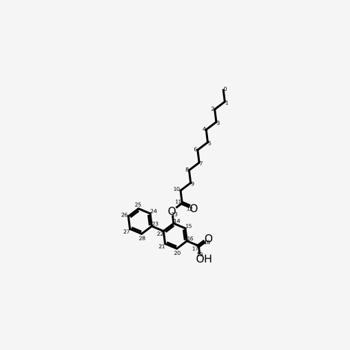 CCCCCCCCCCCC(=O)Oc1cc(C(=O)O)ccc1-c1ccccc1